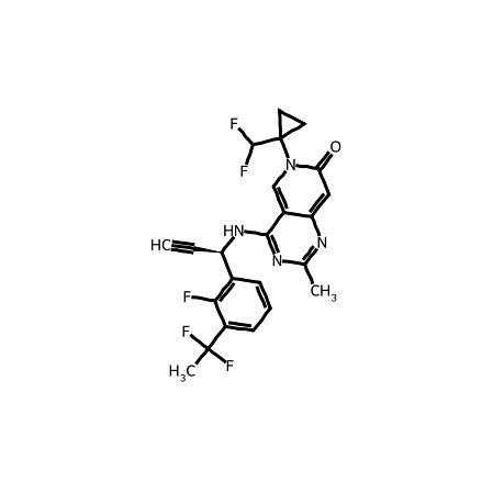 C#C[C@@H](Nc1nc(C)nc2cc(=O)n(C3(C(F)F)CC3)cc12)c1cccc(C(C)(F)F)c1F